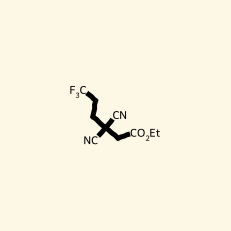 CCOC(=O)CC(C#N)(C#N)CCC(F)(F)F